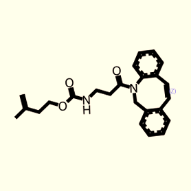 C=C(C)CCOC(=O)NCCC(=O)N1Cc2ccccc2/C=C\c2ccccc21